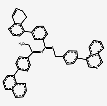 CC/C(=N\C(=N/Cc1ccc(-c2cncc3ccccc23)cc1)c1cccc(-c2cccc3c2CCC=C3)c1)c1ccc(-c2cccc3ccccc23)cc1